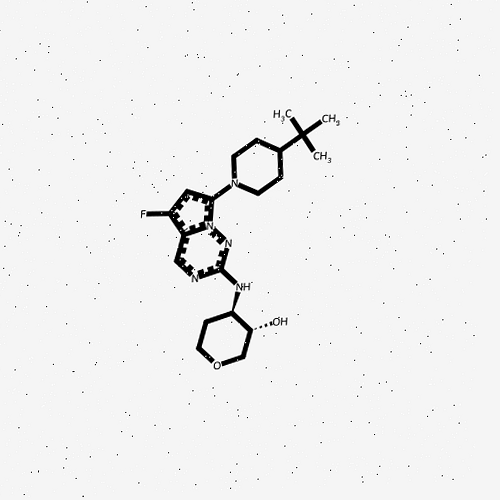 CC(C)(C)C1CCN(c2cc(F)c3cnc(N[C@@H]4CCOC[C@H]4O)nn23)CC1